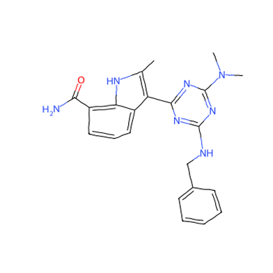 Cc1[nH]c2c(C(N)=O)cccc2c1-c1nc(NCc2ccccc2)nc(N(C)C)n1